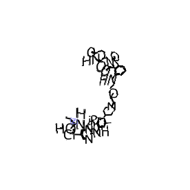 C/C=C(\O)Nc1nc(Nc2cc(C)c(C3CCN(CCOCCNc4cccc5c4C(=O)N(C4CCC(=O)NC4=O)C5=O)CC3)cc2OC(C)C)ncc1Cl